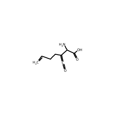 C=CCCC(=C=O)C(N)C(=O)O